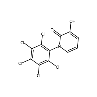 O=c1c(O)cccn1-c1c(Cl)c(Cl)c(Cl)c(Cl)c1Cl